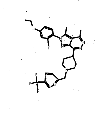 CCOc1ccc(-n2nc3c(C4CCN(Cc5ccc(C(F)(F)F)cn5)CC4)nnc(C)c3c2C)c(F)c1